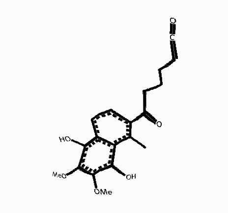 COc1c(OC)c(O)c2c(C)c(C(=O)CCCC=C=O)ccc2c1O